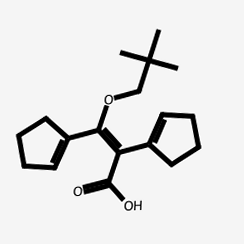 CC(C)(C)COC(C1=CCCC1)=C(C(=O)O)C1=CCCC1